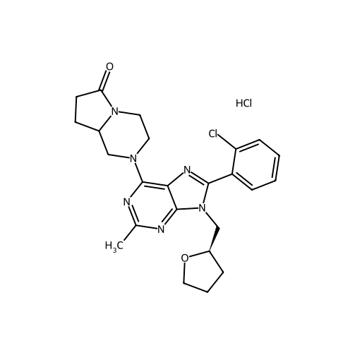 Cc1nc(N2CCN3C(=O)CCC3C2)c2nc(-c3ccccc3Cl)n(C[C@H]3CCCO3)c2n1.Cl